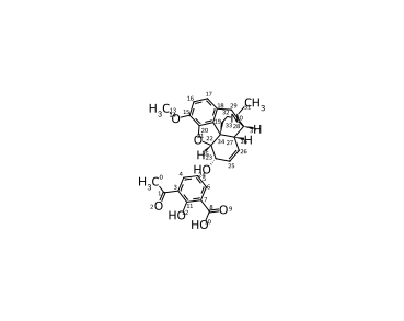 CC(=O)c1cccc(C(=O)O)c1O.COc1ccc2c3c1O[C@H]1[C@@H](O)C=C[C@H]4[C@@H](C2)N(C)CC[C@@]341